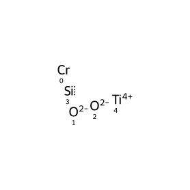 [Cr].[O-2].[O-2].[Si].[Ti+4]